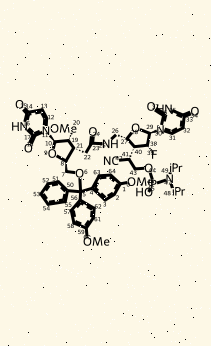 COc1ccc(C(OC[C@H]2O[C@@H](n3ccc(=O)[nH]c3=O)[C@H](OC)[C@@H]2CC(=O)NC[C@@H]2O[C@@H](n3ccc(=O)[nH]c3=O)[C@H](F)[C@@H]2C(C#N)COP(O)N(C(C)C)C(C)C)(c2ccccc2)c2ccc(OC)cc2)cc1